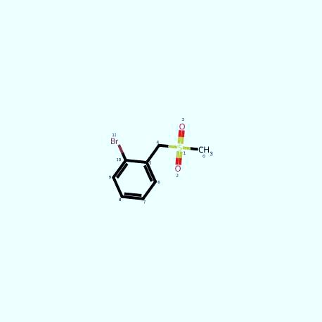 CS(=O)(=O)Cc1ccccc1Br